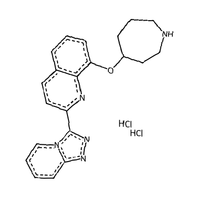 Cl.Cl.c1cc(OC2CCCNCC2)c2nc(-c3nnc4ccccn34)ccc2c1